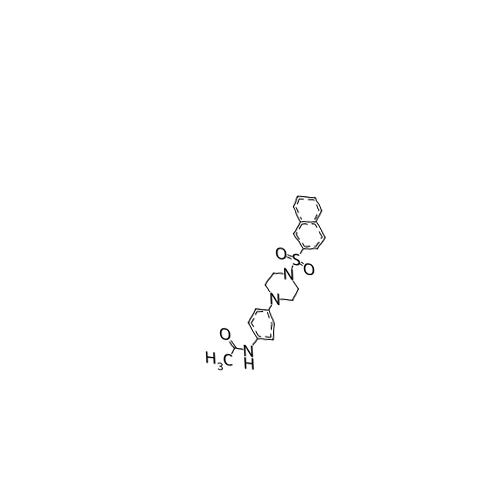 CC(=O)Nc1ccc(N2CCN(S(=O)(=O)c3ccc4ccccc4c3)CC2)cc1